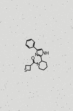 O=C(C1CSC1)N1CCCCC1c1nc(-c2ccccc2)c[nH]1